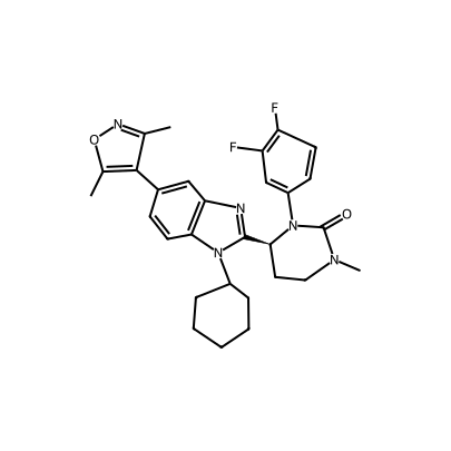 Cc1noc(C)c1-c1ccc2c(c1)nc([C@@H]1CCN(C)C(=O)N1c1ccc(F)c(F)c1)n2C1CCCCC1